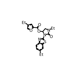 CCc1coc(C(=O)OC2CN(CC)C(=O)N2c2nc3ccc(CC)cc3s2)c1